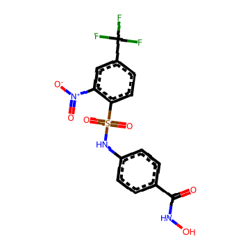 O=C(NO)c1ccc(NS(=O)(=O)c2ccc(C(F)(F)F)cc2[N+](=O)[O-])cc1